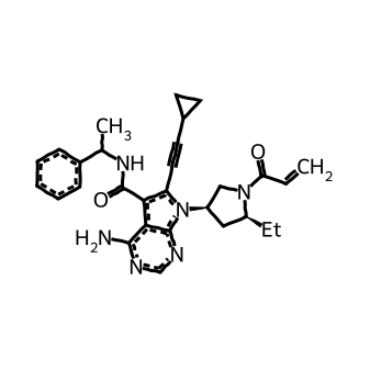 C=CC(=O)N1C[C@H](n2c(C#CC3CC3)c(C(=O)NC(C)c3ccccc3)c3c(N)ncnc32)C[C@@H]1CC